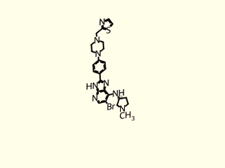 CN1CC[C@H](Nc2c(Br)cnc3[nH]c(-c4ccc(N5CCN(Cc6nccs6)CC5)cc4)nc23)C1